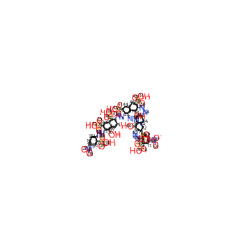 Nc1c(N=Nc2ccc3c(O)c(N=Nc4ccc([N+](=O)[O-])cc4S(=O)(=O)O)c(S(=O)(=O)O)cc3c2S(=O)(=O)O)c(S(=O)(=O)O)cc2cc(S(=O)(=O)O)c(/N=N\c3ccc4c(O)c(/N=N\c5ccc([N+](=O)[O-])cc5S(=O)(=O)O)c(S(=O)(=O)O)cc4c3)c(O)c12